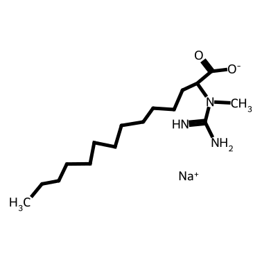 CCCCCCCCCCCCC(C(=O)[O-])N(C)C(=N)N.[Na+]